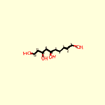 OCCCCCC(O)CC(O)CCO